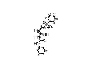 N=C(NC(=S)Nc1ccccc1)/C(F)=C\NS(=O)(=O)c1ccccc1